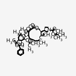 CO[C@]1(C)C[C@@H](C)CN(C)[C@H]([C@H]2CCN(C(=O)OC(C)(C)C)C2)COC(=O)C(C)(C)C(=O)[C@H](C)[C@H]1O[C@@H]1O[C@H](C)C[C@H](N(C)C)[C@H]1OC(=O)c1ccccc1